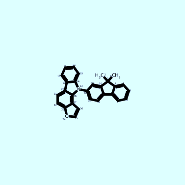 CC1(C)c2ccccc2-c2ccc(-n3c4ccccc4c4ccc5occc5c43)cc21